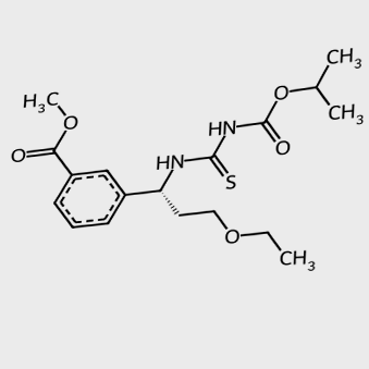 CCOCC[C@@H](NC(=S)NC(=O)OC(C)C)c1cccc(C(=O)OC)c1